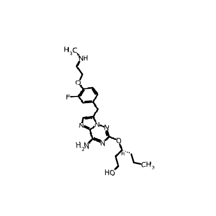 CCC[C@H](CCO)Oc1nc(N)c2ncc(Cc3ccc(OCCNC)c(F)c3)n2n1